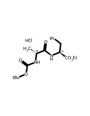 CCOC(=O)[C@H](CC(C)C)NC(=O)[C@@H](C)NC(=O)OC(C)(C)C.Cl